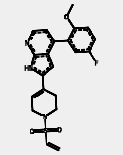 C=CS(=O)(=O)N1CC=C(c2cc3c(-c4cc(F)ccc4OC)ccnc3[nH]2)CC1